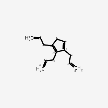 C=CCC1=C[CH]C(CC=C)=C1CC=C